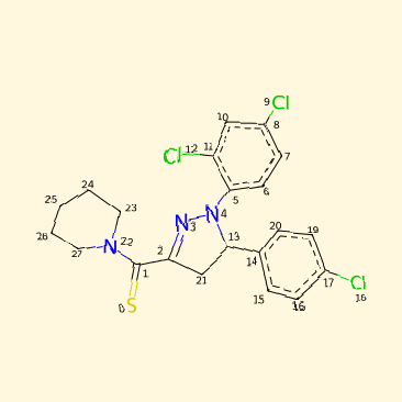 S=C(C1=NN(c2ccc(Cl)cc2Cl)C(c2ccc(Cl)cc2)C1)N1CCCCC1